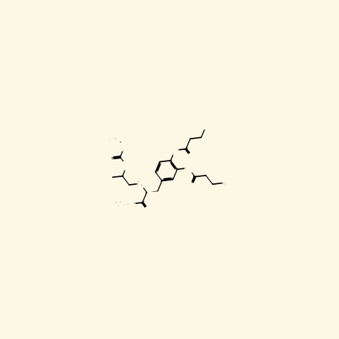 CCC(C)OC(=O)OC(C)CN[C@@H](Cc1ccc(OC(=O)CCC(C)C)c(OC(=O)CCC(C)C)c1)C(=O)OC